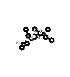 C=C(C1=C(c2c(C)n(-c3ccccc3)c3cc(C4=CC=CCC4)ccc23)S/C(=C/C=C/N(c2ccc(-c3ccccc3)cc2)c2ccc3c(c2)C(C)(C)c2ccccc2-3)C1CC)c1ccccn1